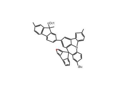 CCCCCCCCC1(C)c2cc(C)ccc2-c2ccc(-c3cc4c5c(c3)c3cc(C)ccc3n5-c3ccc(C(C)CC)cc3C43c4ccccc4-c4ccccc43)cc21